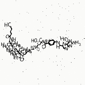 C#CCCCC(=O)NCC(C)(C)C(C)(C)N(CC(C)(C)C(C)(C)N(CCSCCNC(=O)CCC(NC(=O)c1ccc(NCc2cnc3nc(N)nc(O)c3n2)cc1)C(=O)O)C(=O)CC)C(=O)CC